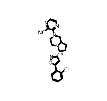 N#Cc1nccnc1N1CCN2C(CC[C@@H]2c2cc(-c3ccccc3Cl)on2)C1